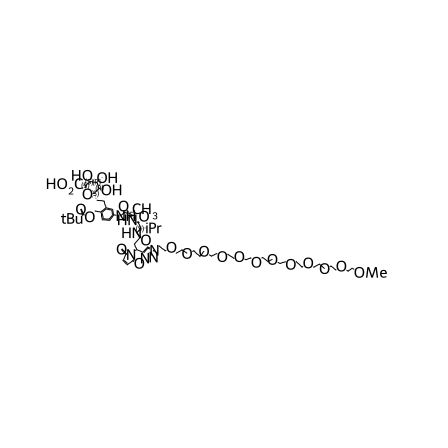 COCCOCCOCCOCCOCCOCCOCCOCCOCCOCCOCCOCCn1cc(C(CC(=O)N[C@H](C(=O)N[C@@H](C)C(=O)Nc2ccc(COC(=O)C(C)(C)C)c(CC[C@@H]3O[C@H](C(=O)O)[C@@H](O)[C@H](O)[C@H]3O)c2)C(C)C)N2C(=O)C=CC2=O)nn1